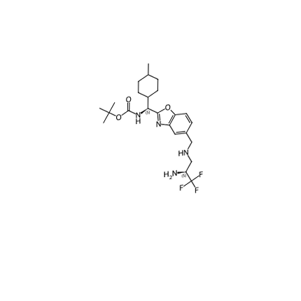 CC1CCC([C@H](NC(=O)OC(C)(C)C)c2nc3cc(CNC[C@H](N)C(F)(F)F)ccc3o2)CC1